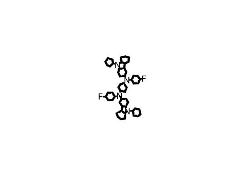 Fc1ccc(N(c2ccc(N(c3ccc(F)cc3)c3ccc4c(c3)c3ccccc3n4-c3ccccc3)cc2)c2ccc3c(c2)c2ccccc2n3-c2ccccc2)cc1